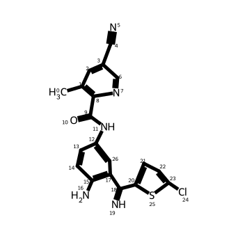 Cc1cc(C#N)cnc1C(=O)Nc1ccc(N)c(C(=N)c2ccc(Cl)s2)c1